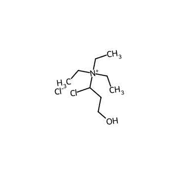 CC[N+](CC)(CC)C(Cl)CCO.[Cl-]